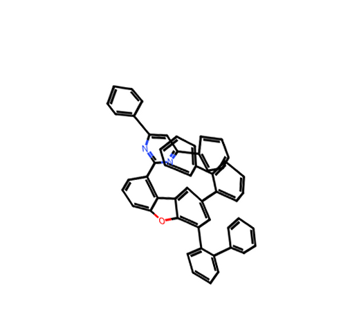 c1ccc(-c2cc(-c3ccccc3)nc(-c3cccc4oc5c(-c6ccccc6-c6ccccc6)cc(-c6ccccc6-c6ccccc6)cc5c34)n2)cc1